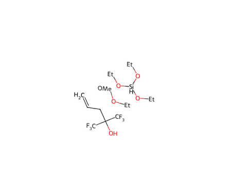 C=CCC(O)(C(F)(F)F)C(F)(F)F.CCOOC.CCO[SiH](OCC)OCC